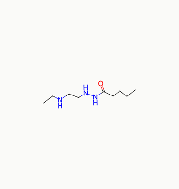 CCCCC(=O)NNCCNCC